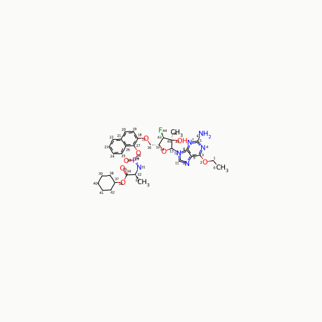 CCOc1nc(N)nc2c1ncn2C1O[C@H](COc2ccc3ccccc3c2O/[P+]([O-])=N/[C@@H](C)C(=O)OC2CCCCC2)[C@@H](F)[C@@]1(C)O